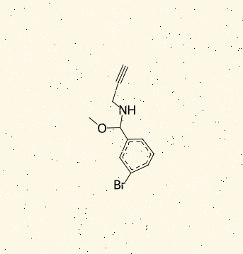 C#CCNC(OC)c1cccc(Br)c1